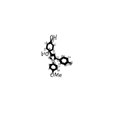 COc1ccc(-n2nc(C3(O)CCC(O)CC3)cc2-c2ccc(F)cc2)cc1